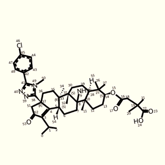 CC(C)C1=C2[C@H]3CCC4(N)[C@@]5(C)CC[C@H](OC(=O)CC(C)(C)C(=O)O)C(C)(C)[C@@H]5CC[C@@]4(C)[C@]3(C)CC[C@@]2(c2nnc(-c3ccc(Cl)cc3)n2C)CC1=O